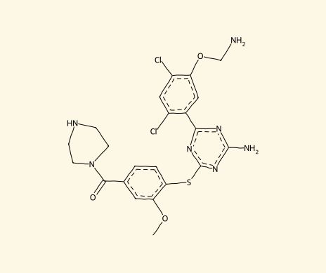 COc1cc(C(=O)N2CCNCC2)ccc1Sc1nc(N)nc(-c2cc(OCN)c(Cl)cc2Cl)n1